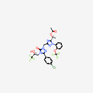 CC(=O)O[C@@H](C)c1nc(Cn2nc(-c3ccc(Cl)cc3)n(C[C@H](O)C(F)(F)F)c2=O)nn1-c1ccccc1OC(F)(F)F